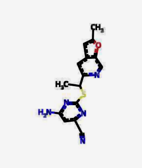 Cc1cc2cc(C(C)Sc3nc(N)cc(C#N)n3)ncc2o1